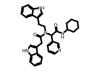 O=C(NC1CCCCC1)C(c1cccnc1)N(CCc1c[nH]c2ccccc12)C(=O)Cc1c[nH]c2ccccc12